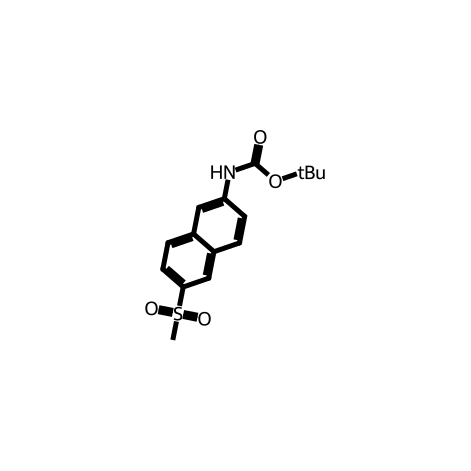 CC(C)(C)OC(=O)Nc1ccc2cc(S(C)(=O)=O)ccc2c1